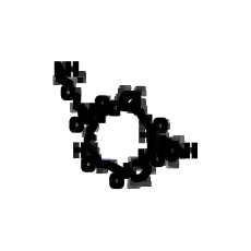 NCCOCCNC(=O)[C@@H]1CCNC(=O)/C=C/C(=O)N2CCC[C@H](C2)C(=O)N[C@@H](Cc2c[nH]cn2)C(=O)NCc2ccccc2CC(=O)N1